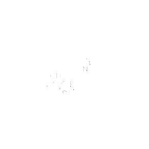 O=C(O)c1cc(C2CCN(C(=O)C3CC3)CC2)ncn1